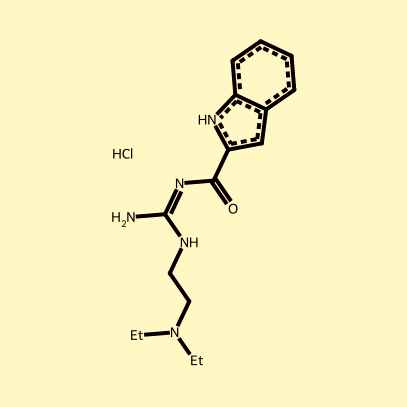 CCN(CC)CCNC(N)=NC(=O)c1cc2ccccc2[nH]1.Cl